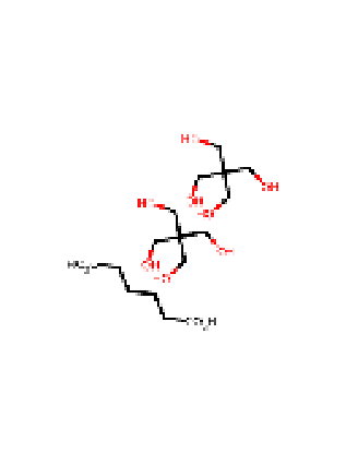 O=C(O)CCCCC(=O)O.OCC(CO)(CO)CO.OCC(CO)(CO)CO